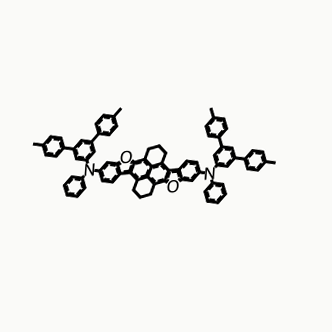 Cc1ccc(-c2cc(-c3ccc(C)cc3)cc(N(c3ccccc3)c3ccc4c(c3)oc3c5c6c(c7c(oc8cc(N(c9ccccc9)c9cc(-c%10ccc(C)cc%10)cc(-c%10ccc(C)cc%10)c9)ccc87)c7c6c(c34)CCC7)CCC5)c2)cc1